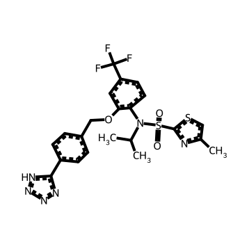 Cc1csc(S(=O)(=O)N(c2ccc(C(F)(F)F)cc2OCc2ccc(-c3nnn[nH]3)cc2)C(C)C)n1